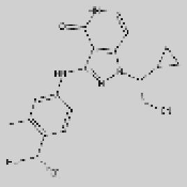 Cc1cc(Nc2nn([C@@H](CC#N)C3CC3)c3cc[nH]c(=O)c23)ccc1[C@@H](O)C(F)(F)F